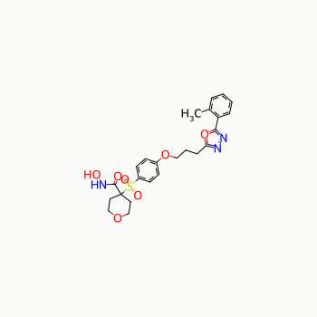 Cc1ccccc1-c1nnc(CCCOc2ccc(S(=O)(=O)C3(C(=O)NO)CCOCC3)cc2)o1